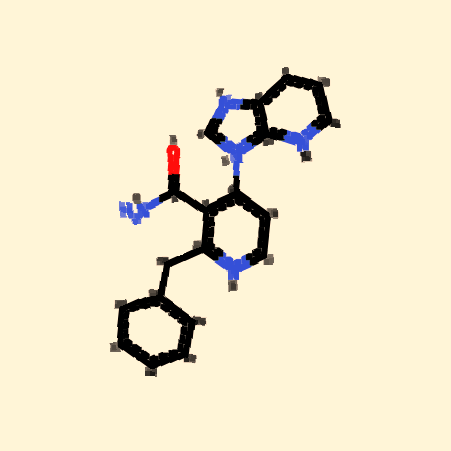 NC(=O)c1c(-n2cnc3cccnc32)ccnc1Cc1ccccc1